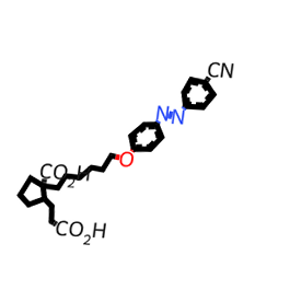 N#Cc1ccc(N=Nc2ccc(OCCCCCCC3(C(=O)O)CCCC3CCC(=O)O)cc2)cc1